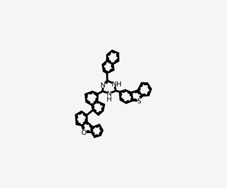 c1ccc2cc(C3=NC(c4cccc5c(-c6cccc7oc8ccccc8c67)cccc45)NC(c4ccc5sc6ccccc6c5c4)N3)ccc2c1